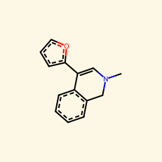 CN1C=C(c2ccco2)c2ccccc2C1